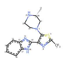 C[C@@H]1CN(c2sc(C(F)(F)F)nc2-c2nc3ccccc3[nH]2)CCN1